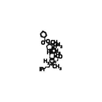 CC(C)CCC[C@@H](C)[C@H]1CC(=O)[C@H]2C3=CC[C@H]4C(C)(C)[C@@H](OC(=O)c5ccccc5)CC[C@]4(C)[C@H]3CC[C@@]21C